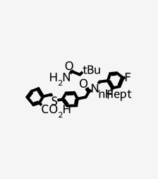 CC(C)(C)CC(N)=O.CCCCCCCN(Cc1ccc(F)cc1F)C(=O)Cc1ccc(SCc2ccccc2C(=O)O)cc1